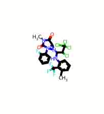 Cc1cccc(NC(C(Cl)C(Cl)(Cl)Cl)N2C3C(=O)N(C)C(=O)[N+]32c2ccccc2F)c1C(F)(F)F